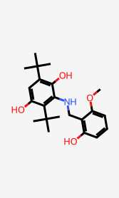 COc1cccc(O)c1CNc1c(O)c(C(C)(C)C)cc(O)c1C(C)(C)C